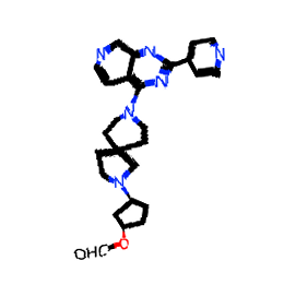 O=CO[C@@H]1CC[C@H](N2CCC3(CCN(c4nc(-c5ccncc5)nc5cnccc45)CC3)C2)C1